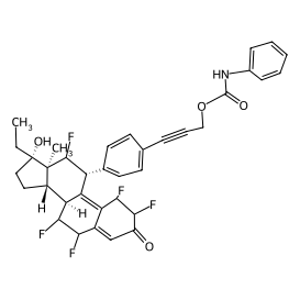 CC[C@]1(O)CC[C@H]2[C@H]3C(=C4C(=CC(=O)C(F)C4F)C(F)C3F)[C@@H](c3ccc(C#CCOC(=O)Nc4ccccc4)cc3)C(F)[C@@]21C